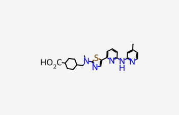 Cc1ccnc(Nc2cccc(-c3cnc(N(C)CC4CCC(C(=O)O)CC4)s3)n2)c1